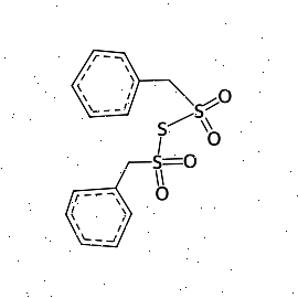 O=S(=O)(Cc1ccccc1)SS(=O)(=O)Cc1ccccc1